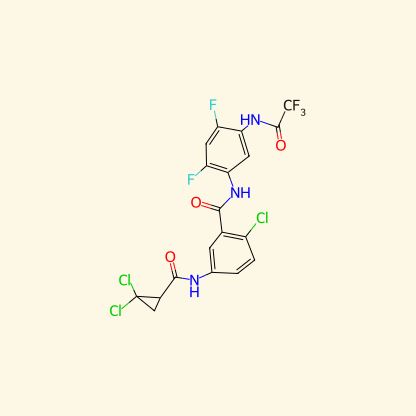 O=C(Nc1cc(NC(=O)C(F)(F)F)c(F)cc1F)c1cc(NC(=O)C2CC2(Cl)Cl)ccc1Cl